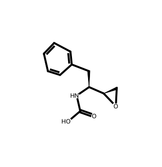 O=C(O)N[C@@H](Cc1ccccc1)[C@H]1CO1